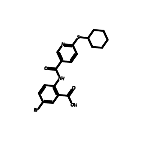 O=C(Nc1ccc(Br)cc1C(=O)O)c1ccc(SC2CCCCC2)nc1